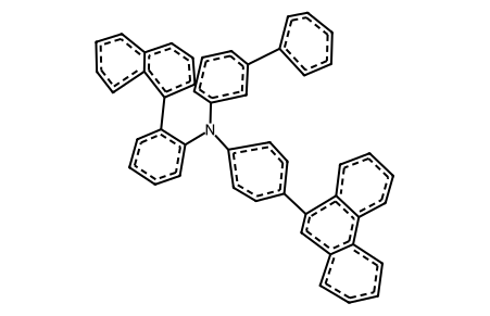 c1ccc(-c2cccc(N(c3ccc(-c4cc5ccccc5c5ccccc45)cc3)c3ccccc3-c3cccc4ccccc34)c2)cc1